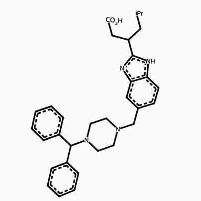 CC(C)CC(CC(=O)O)c1nc2cc(CN3CCN(C(c4ccccc4)c4ccccc4)CC3)ccc2[nH]1